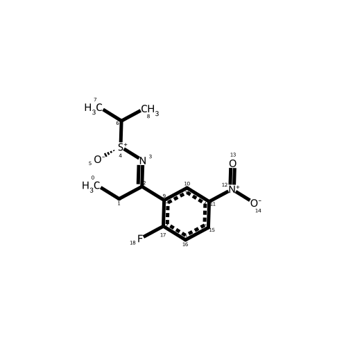 CC/C(=N\[S@+]([O-])C(C)C)c1cc([N+](=O)[O-])ccc1F